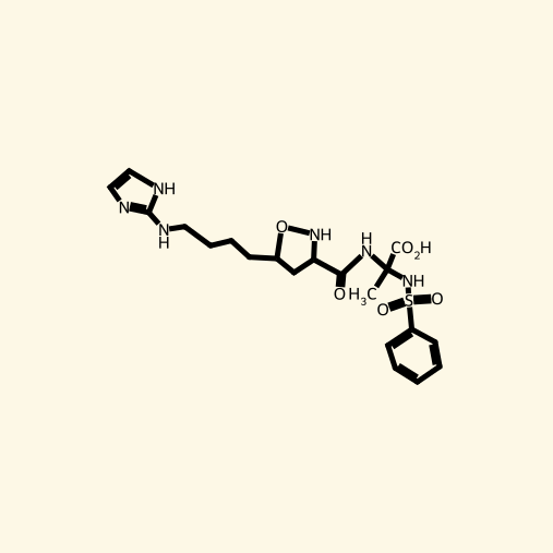 CC(NC(=O)C1CC(CCCCNc2ncc[nH]2)ON1)(NS(=O)(=O)c1ccccc1)C(=O)O